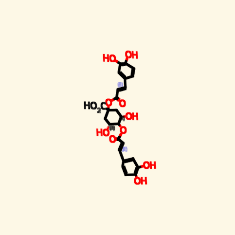 O=C(/C=C/c1ccc(O)c(O)c1)OC1[C@H](O)CC(OC(=O)/C=C/c2ccc(O)c(O)c2)(C(=O)O)C[C@H]1O